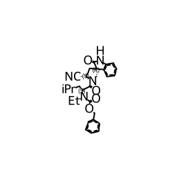 CCN(C(=O)OCc1ccccc1)[C@@H](CC(C)C)C(=O)N1C[C@]2(C[C@H]1C#N)C(=O)Nc1ccccc12